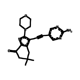 CC1(C)CC(=O)c2sc(N3CCOCC3)c(C#Cc3cnc(N)nc3)c2C1